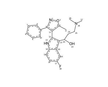 Cc1onc(-c2ccccc2)c1-c1[nH]c2ccc(F)cc2c1C(O)CCN(C)C